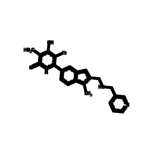 CCc1c(-c2ccc3c(c2)cc(CNCc2cccnc2)n3C)[nH]c(=O)c(C(=O)O)c1O